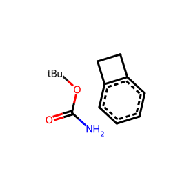 CC(C)(C)OC(N)=O.c1ccc2c(c1)CC2